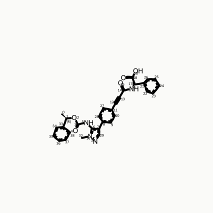 C[C@@H](OC(=O)Nc1c(-c2ccc(C#CC(=O)N[C@@H](C(=O)O)c3ccccc3)cc2)cnn1C)c1ccccc1